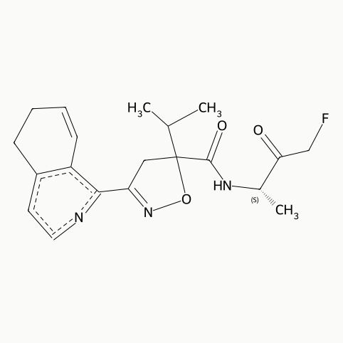 CC(C)C1(C(=O)N[C@@H](C)C(=O)CF)CC(c2nccc3c2C=CCC3)=NO1